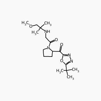 COCC(C)(C)NCC(=O)N1CCCC1C(=O)c1nnc(C(C)(C)C)o1